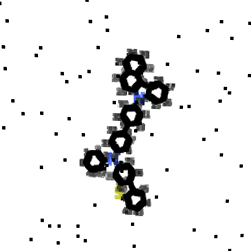 c1ccc(N(c2ccc(-c3ccc(-n4c5ccccc5c5c6ccccc6ccc54)cc3)cc2)c2ccc3c(c2)sc2ccccc23)cc1